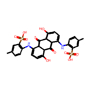 Cc1ccc(NC2=CC=C(O)C3C(=O)C4C(Nc5ccc(C)cc5S(=O)(=O)O)=CC=C(O)C4C(=O)C23)c(S(=O)(=O)O)c1